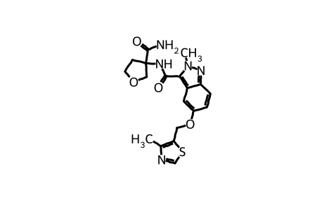 Cc1ncsc1COc1ccc2nn(C)c(C(=O)NC3(C(N)=O)CCOC3)c2c1